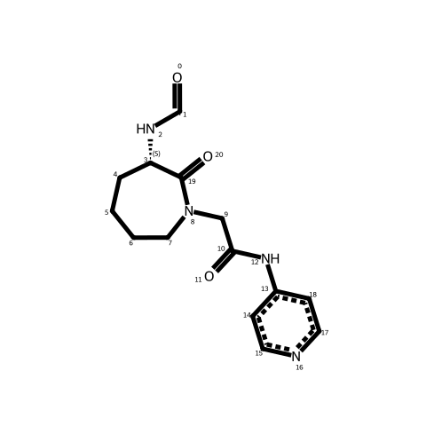 O=[C]N[C@H]1CCCCN(CC(=O)Nc2ccncc2)C1=O